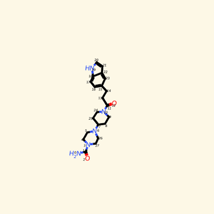 NC(=O)N1CCN(C2CCN(C(=O)[CH]Cc3ccc4[nH]ccc4c3)CC2)CC1